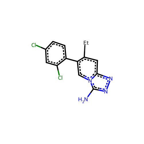 CCc1cc2nnc(N)n2cc1-c1ccc(Cl)cc1Cl